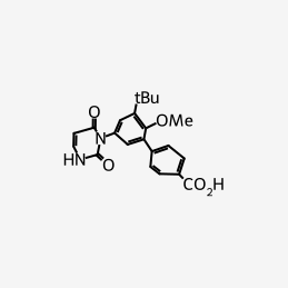 COc1c(-c2ccc(C(=O)O)cc2)cc(-n2c(=O)cc[nH]c2=O)cc1C(C)(C)C